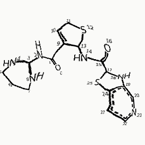 O=C(NC1NCCCN1)C1=CCSC1NC(=O)C1Nc2cnccc2S1